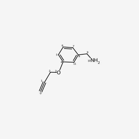 C#CCOc1cccc(CN)c1